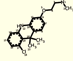 CN(C)CCOc1ccc2c(c1)Nc1cccc(Cl)c1C2(C)C